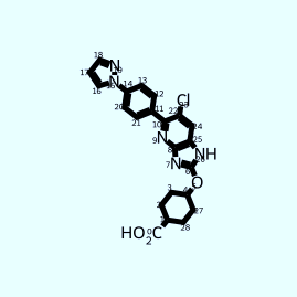 O=C(O)C1CCC(Oc2nc3nc(-c4ccc(-n5cccn5)cc4)c(Cl)cc3[nH]2)CC1